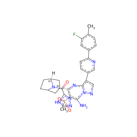 Cc1ccc(-c2ccc(-c3cnn4c(N)c(S(C)(=O)=O)c([C@@H]5CC6CC[C@@H](C5)N6C(=O)c5nnc[nH]5)nc34)cn2)cc1F